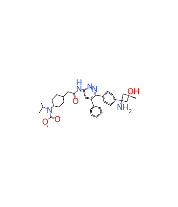 COC(=O)N(C(C)C)C1CCC(CC(=O)Nc2cc(-c3ccccc3)c(-c3ccc([C@]4(N)C[C@](C)(O)C4)cc3)nn2)CC1